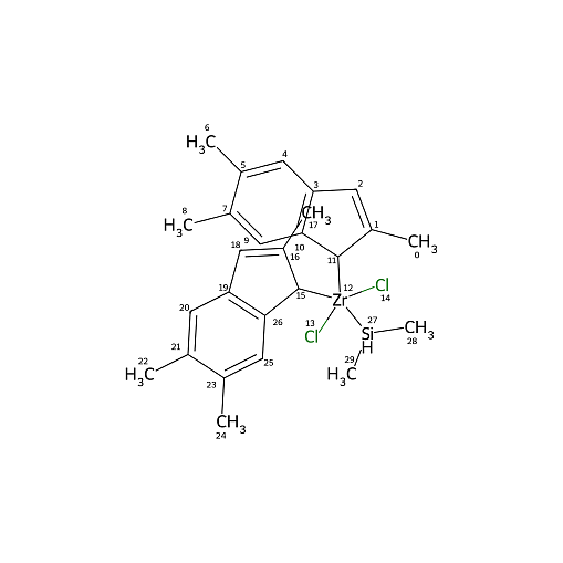 CC1=Cc2cc(C)c(C)cc2[CH]1[Zr]([Cl])([Cl])([CH]1C(C)=Cc2cc(C)c(C)cc21)[SiH](C)C